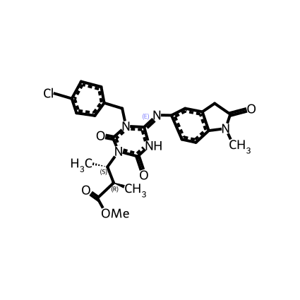 COC(=O)[C@H](C)[C@H](C)n1c(=O)[nH]/c(=N\c2ccc3c(c2)CC(=O)N3C)n(Cc2ccc(Cl)cc2)c1=O